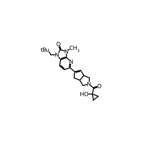 Cn1c(=O)n(CC(C)(C)C)c2ccc(C3=CC4CN(C(=O)C5(O)CC5)CC4C3)nc21